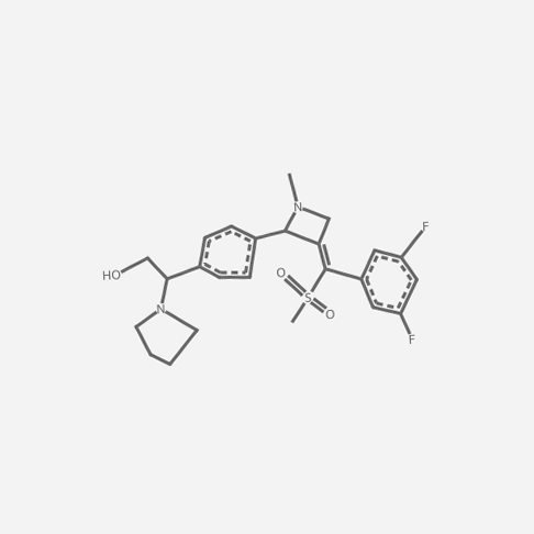 CN1CC(=C(c2cc(F)cc(F)c2)S(C)(=O)=O)C1c1ccc(C(CO)N2CCCC2)cc1